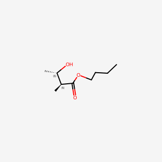 CCCCOC(=O)[C@@H](C)[C@H](C)O